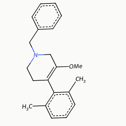 COC1=C(c2c(C)cccc2C)CCN(Cc2ccccc2)C1